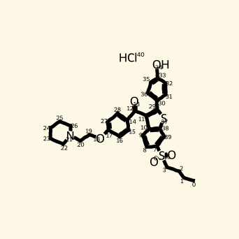 CCCCS(=O)(=O)c1ccc2c(C(=O)c3ccc(OCCN4CCCCC4)cc3)c(-c3ccc(O)cc3)sc2c1.Cl